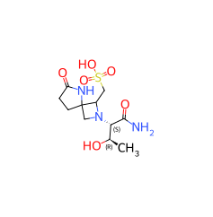 C[C@@H](O)[C@@H](C(N)=O)N1CC2(CCC(=O)N2)C1CS(=O)(=O)O